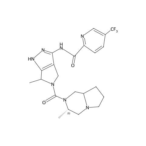 CC1c2[nH]nc(NC(=O)c3ccc(C(F)(F)F)cn3)c2CN1C(=O)N1CC2CCCN2C[C@@H]1C